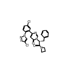 O=C([C@H](Cc1ccccc1)n1cnc(-c2cc(Cl)ccc2-n2cc(Cl)nn2)cc1=O)N1CCC1